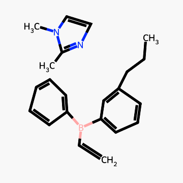 C=CB(c1ccccc1)c1cccc(CCC)c1.Cc1nccn1C